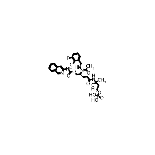 CC(=O)N(NCc1cccc(F)c1Cl)[C@@H](CCC(=O)NC(C)(C)CCOP(=O)(O)O)COC(=O)Nc1cc2ccccc2cn1